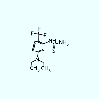 CCN(CC)c1ccc(C(F)(F)F)c(NC(N)=S)c1